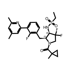 CCS(=O)(=O)N[C@@H]1[C@H](Cc2cccc(-c3cc(C)cc(C)n3)c2F)N(C(=O)C2(C)CC2)CC1(F)F